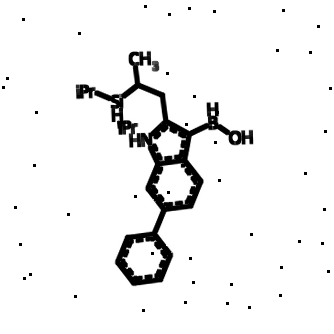 CC(C)[SiH](C(C)C)C(C)Cc1[nH]c2cc(-c3ccccc3)ccc2c1BO